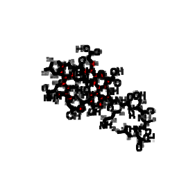 CC(C)C[C@H](NC(=O)[C@H](C)NC(=O)[C@H](CO)NC(=O)[C@H](CCCCN)NC(=O)[C@H](CCC(=O)O)NC(=O)[C@H](CC(=O)O)NC(=O)[C@H](CCC(=O)O)NC(=O)[C@H](CC(C)C)NC(=O)[C@H](CCC(N)=O)NC(=O)[C@H](CC(=O)O)NC(=O)[C@@H](NC(=O)[C@H](CCC(=O)O)NC(=O)[C@H](C)NC(=O)[C@H](CCC(N)=O)NC(=O)[C@@H](N)CC(C)C)[C@@H](C)O)C(=O)O